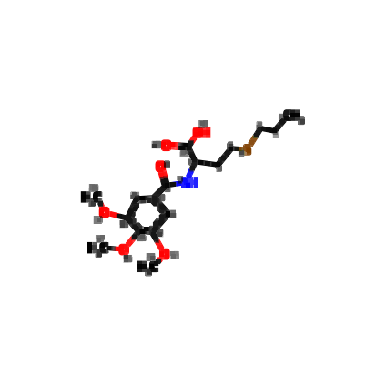 CCCSCCC(NC(=O)c1cc(OC)c(OC)c(OC)c1)C(=O)O